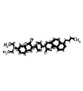 CCCCc1cccc2c1ccc1cc(-c3cnc(-c4cc5ccc(N(CC)CC)cc5oc4=O)cn3)c(=O)oc12